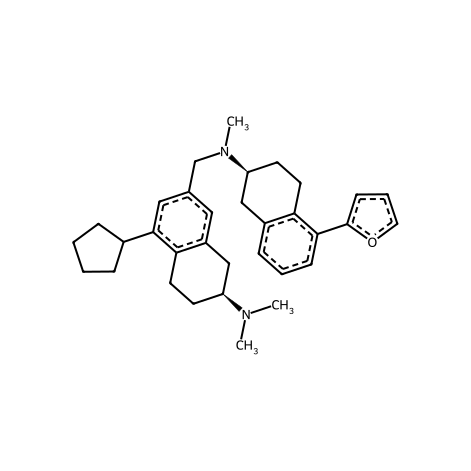 CN(C)[C@H]1CCc2c(cc(CN(C)[C@H]3CCc4c(cccc4-c4ccco4)C3)cc2C2CCCC2)C1